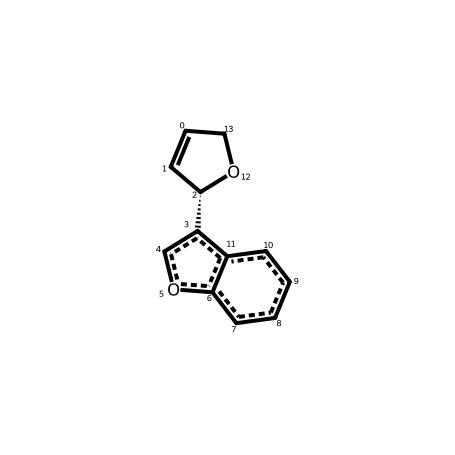 C1=C[C@@H](c2coc3ccccc23)OC1